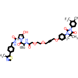 Cc1ncsc1-c1ccc(CNC(=O)[C@@H]2C[C@@H](O)CN2C(=O)C(NC(=O)COCCOCC#CCOc2ccc(N3C(=O)N(c4ccc(C#N)c(C(F)(F)F)c4)C(=O)C3(C)C)cc2)C(C)(C)C)cc1